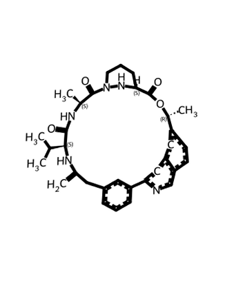 C=C1Cc2cccc(c2)-c2cc3cc(ccc3cn2)[C@@H](C)OC(=O)[C@@H]2CCCN(N2)C(=O)[C@H](C)NC(=O)[C@H](C(C)C)N1